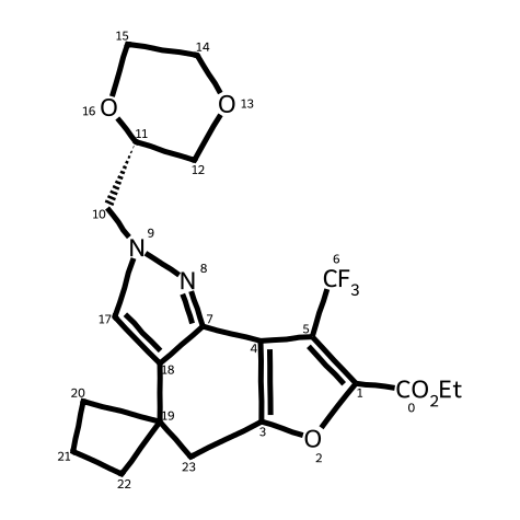 CCOC(=O)c1oc2c(c1C(F)(F)F)-c1nn(C[C@H]3COCCO3)cc1C1(CCC1)C2